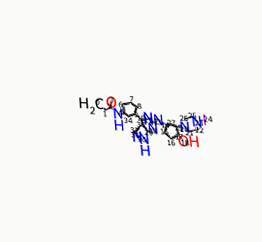 C=CC(=O)Nc1cccc(-c2nc(Nc3ccc(O)c(N4CCN(I)CC4)c3)nc3[nH]ncc23)c1